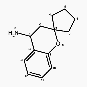 NC1CC2(CCCC2)Oc2ccccc21